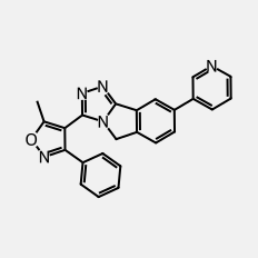 Cc1onc(-c2ccccc2)c1-c1nnc2n1Cc1ccc(-c3cccnc3)cc1-2